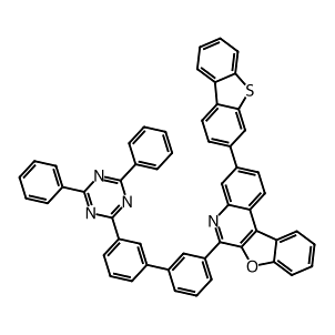 c1ccc(-c2nc(-c3ccccc3)nc(-c3cccc(-c4cccc(-c5nc6cc(-c7ccc8c(c7)sc7ccccc78)ccc6c6c5oc5ccccc56)c4)c3)n2)cc1